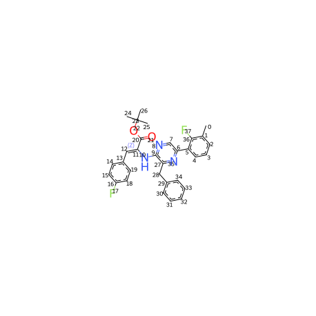 Cc1cccc(-c2cnc(N/C(=C\c3ccc(F)cc3)C(=O)OC(C)(C)C)c(Cc3ccccc3)n2)c1F